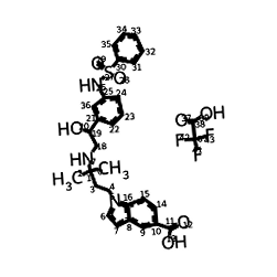 CC(C)(CCn1ccc2cc(C(=O)O)ccc21)NCC(O)c1cccc(NS(=O)(=O)c2ccccc2)c1.O=C(O)C(F)(F)F